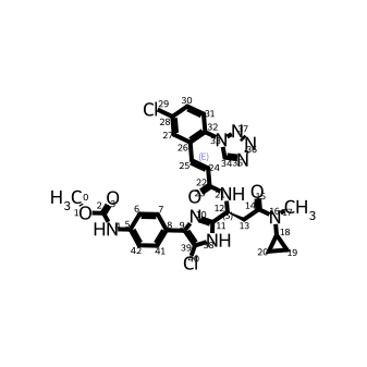 COC(=O)Nc1ccc(-c2nc([C@H](CC(=O)N(C)C3CC3)NC(=O)/C=C/c3cc(Cl)ccc3-n3cnnn3)[nH]c2Cl)cc1